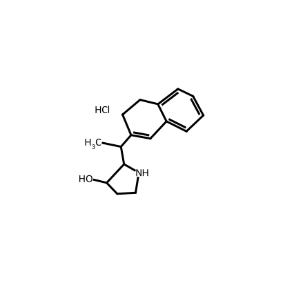 CC(C1=Cc2ccccc2CC1)C1NCCC1O.Cl